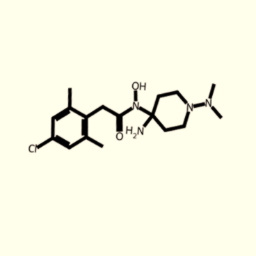 Cc1cc(Cl)cc(C)c1CC(=O)N(O)C1(N)CCN(N(C)C)CC1